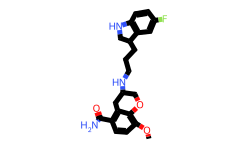 COc1ccc(C(N)=O)c2c1OCC(NCCCC1CNc3ccc(F)cc31)C2